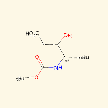 CCCC[C@H](NC(=O)OC(C)(C)C)C(O)CC(=O)O